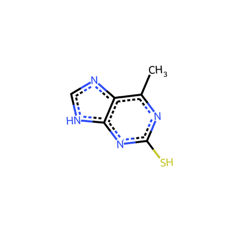 Cc1nc(S)nc2[nH]cnc12